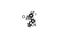 N#Cc1ccsc1Cc1ccccc1Nc1ccc(C(F)(F)F)cc1[N+](=O)[O-]